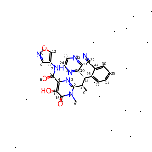 C[C@@H](c1nc(C(=O)Nc2cnoc2)c(O)c(=O)n1C)[C@H](c1cnccn1)c1ccccc1C#N